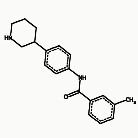 Cc1cccc(C(=O)Nc2ccc(C3CCCNC3)cc2)c1